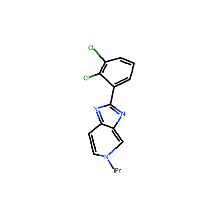 CC(C)n1ccc2nc(-c3cccc(Cl)c3Cl)nc-2c1